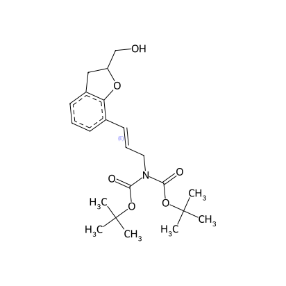 CC(C)(C)OC(=O)N(C/C=C/c1cccc2c1OC(CO)C2)C(=O)OC(C)(C)C